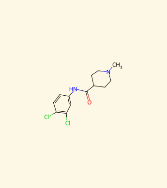 CN1CCC(C(=O)Nc2ccc(Cl)c(Cl)c2)CC1